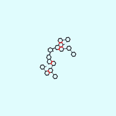 c1ccc(-c2ccc(N(c3ccc4cc5c(cc4c3)oc3c5ccc4oc5cc6cc(N(c7ccccc7-c7ccccc7)c7ccc(-c8ccccc8)cc7-c7ccccc7)ccc6cc5c43)c3ccccc3-c3ccccc3)c(-c3ccccc3)c2)cc1